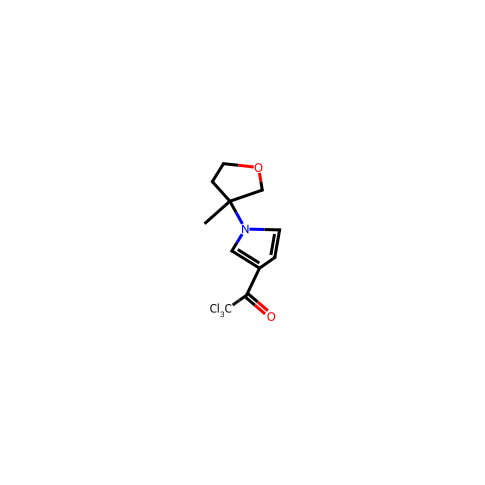 CC1(n2ccc(C(=O)C(Cl)(Cl)Cl)c2)CCOC1